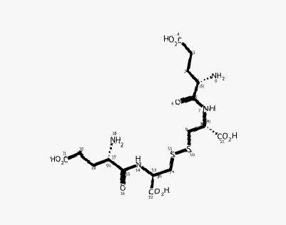 N[C@@H](CCC(=O)O)C(=O)N[C@@H](CSSC[C@H](NC(=O)[C@@H](N)CCC(=O)O)C(=O)O)C(=O)O